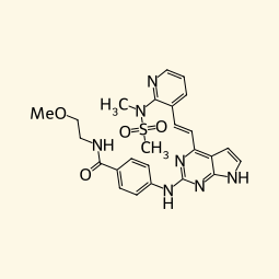 COCCNC(=O)c1ccc(Nc2nc(/C=C/c3cccnc3N(C)S(C)(=O)=O)c3cc[nH]c3n2)cc1